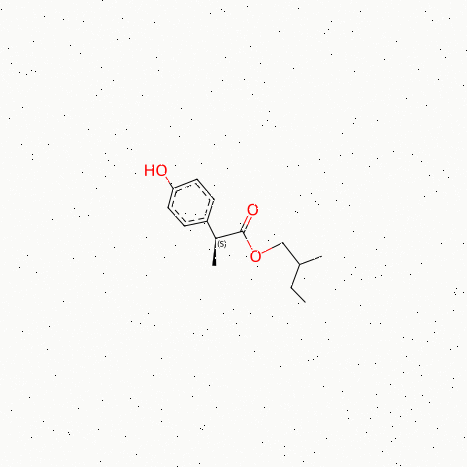 CCC(C)COC(=O)[C@@H](C)c1ccc(O)cc1